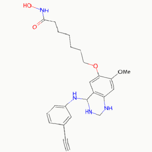 C#Cc1cccc(NC2NCNc3cc(OC)c(OCCCCCCC(=O)NO)cc32)c1